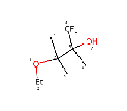 CCOC(C)(C)C(C)(O)C(F)(F)F